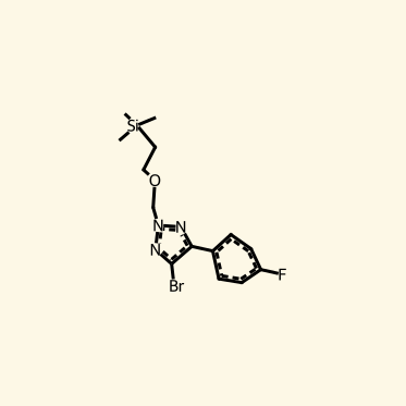 C[Si](C)(C)CCOCn1nc(Br)c(-c2ccc(F)cc2)n1